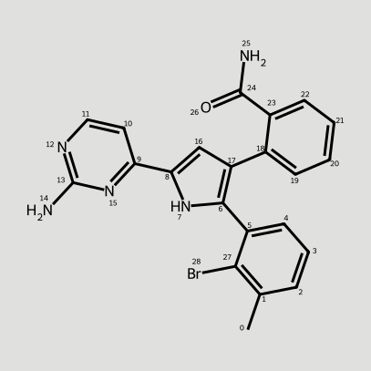 Cc1cccc(-c2[nH]c(-c3ccnc(N)n3)cc2-c2ccccc2C(N)=O)c1Br